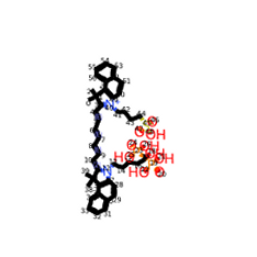 CC1(C)C(/C=C/C=C/C=C/C=C2\N(CCCCC(O)(P(=O)(O)O)P(=O)(O)O)c3ccc4ccccc4c3C2(C)C)=[N+](CCCCS(=O)(=O)O)c2ccc3ccccc3c21